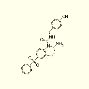 N#Cc1ccc(CNC(=O)N2c3ccc(S(=O)(=O)c4ccccc4)cc3CCC2N)cc1